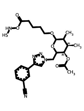 CC(=O)O[C@H]1C(Cn2cc(-c3cccc(C#N)c3)nn2)OC(OCCCCC(=O)ONS)C(C)[C@H]1C